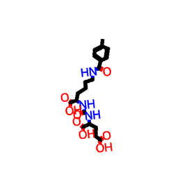 Cc1ccc(C(=O)NCCCCC(NC(=O)NC(CCC(=O)O)C(=O)O)C(=O)O)cc1